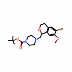 COc1cc2c(cc1Br)CCOC2CN1CCN(C(=O)OC(C)(C)C)CC1